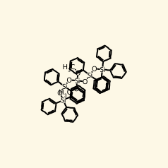 CO[Si](OC)(O[Si](O[Si](c1ccccc1)(c1ccccc1)c1ccccc1)(c1ccccc1)c1ccccc1)O[Si](O[Si](c1ccccc1)(c1ccccc1)c1ccccc1)(c1ccccc1)c1ccccc1